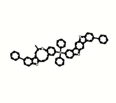 Cc1cc2c(ccc3cc([Si](c4ccccc4)(c4ccccc4)c4ccc5oc6cc7c(cc6c5c4)oc4ccc(-c5ccccc5)cc47)ccc3o1)oc1ccc(-c3ccccc3)cc12